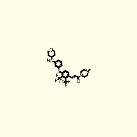 CN1CCN(C(=O)/C=C/c2ccc(Sc3cccc(NC4CCOCC4)c3)c(C(F)(F)F)c2C(F)(F)F)CC1